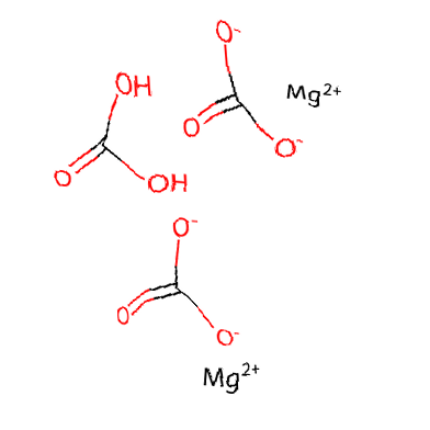 O=C(O)O.O=C([O-])[O-].O=C([O-])[O-].[Mg+2].[Mg+2]